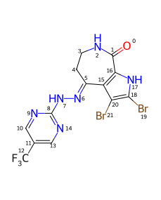 O=C1NCCC(=NNc2ncc(C(F)(F)F)cn2)c2c1[nH]c(Br)c2Br